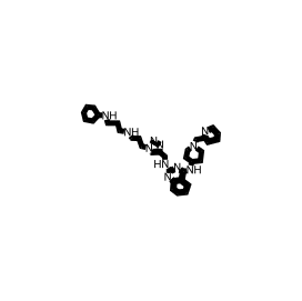 c1ccc(CN2CCC(Nc3nc(NCc4cn(CCCNCCCNC5CCCCC5)nn4)nc4ccccc34)CC2)nc1